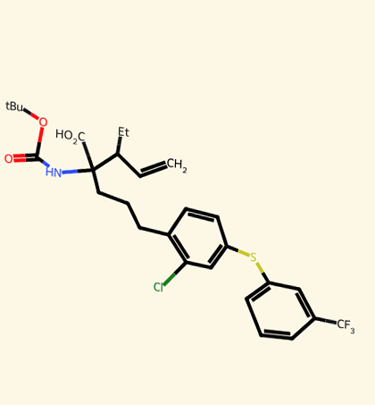 C=CC(CC)C(CCCc1ccc(Sc2cccc(C(F)(F)F)c2)cc1Cl)(NC(=O)OC(C)(C)C)C(=O)O